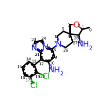 CC1OCC2(CCN(c3cc(N)c(-c4cccc(Cl)c4Cl)c4nccn34)CC2)C1N